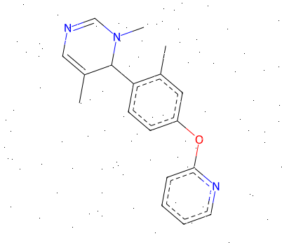 CC1=CN=CN(C)C1c1ccc(Oc2ccccn2)cc1C